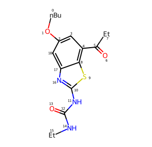 CCCCOc1cc(C(=O)CC)c2sc(NC(=O)NCC)nc2c1